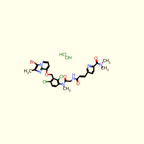 Cc1nc2c(OCc3c(Cl)ccc(N(C)C(=O)CNC(=O)/C=C/c4ccc(C(=O)N(C)C)nc4)c3Cl)cccn2c1Br.Cl.Cl